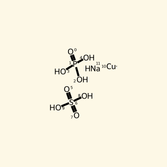 O=P(O)(O)O.O=S(=O)(O)O.[Cu].[NaH]